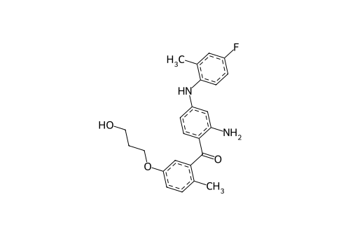 Cc1cc(F)ccc1Nc1ccc(C(=O)c2cc(OCCCO)ccc2C)c(N)c1